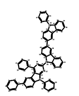 c1ccc(-c2ccc3c(c2)c2c(-c4ccccc4)nc(-n4c5ccccc5c5cc(-c6ccc7c(c6)c6ccccc6n7-c6ccccc6)ccc54)nc2n3-c2ccccc2)cc1